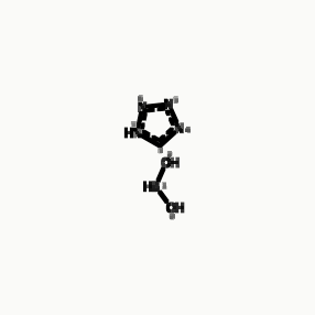 OBO.c1nnn[nH]1